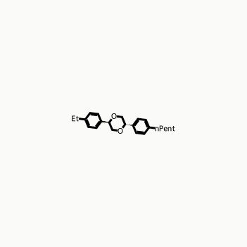 CCCCCc1ccc([C@H]2CO[C@H](c3ccc(CC)cc3)CO2)cc1